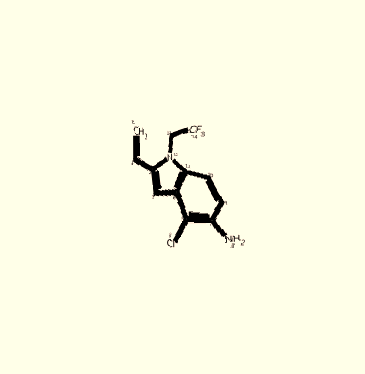 C=Cc1cc2c(Cl)c(N)ccc2n1CC(F)(F)F